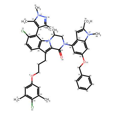 Cc1cc(OCCCc2c3n(c4c(-c5c(C)nn(C)c5C)c(Cl)ccc24)C(C)CN(c2cc(OCc4ccccc4)cc4c2cc(C(=O)O)n4C)C3=O)cc(C)c1Cl